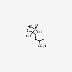 CCC(O)(CCC(C)C(=O)O)P(=O)(O)O